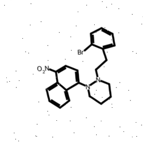 O=[N+]([O-])c1ccc(N2CCCCN2CCc2ccccc2Br)c2ccccc12